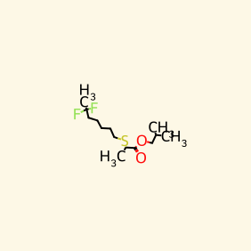 CC(C)COC(=O)C(C)SCCCCCC(C)(F)F